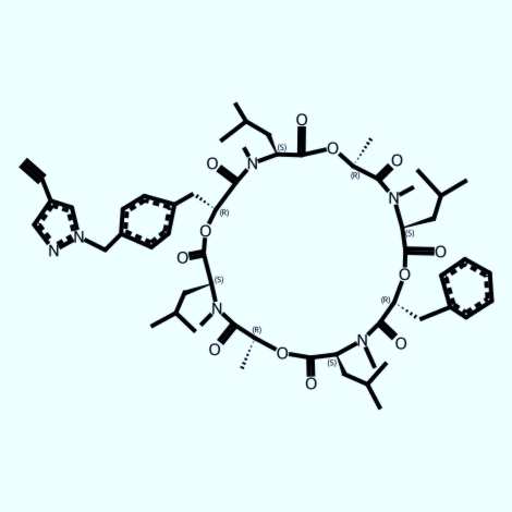 C#Cc1cnn(Cc2ccc(C[C@H]3OC(=O)[C@H](CC(C)C)N(C)C(=O)[C@@H](C)OC(=O)[C@H](CC(C)C)N(C)C(=O)[C@@H](Cc4ccccc4)OC(=O)[C@H](CC(C)C)N(C)C(=O)[C@@H](C)OC(=O)[C@H](CC(C)C)N(C)C3=O)cc2)c1